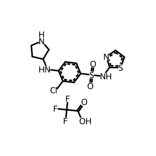 O=C(O)C(F)(F)F.O=S(=O)(Nc1nccs1)c1ccc(NC2CCNC2)c(Cl)c1